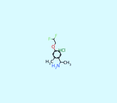 Cc1cc(OCC(F)F)ccc1C(C)N.Cl